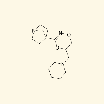 C1CCN(CC2CON=C(C34CCN(CC3)C4)O2)CC1